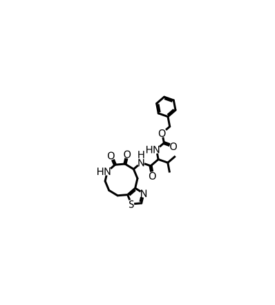 CC(C)C(NC(=O)OCc1ccccc1)C(=O)NC1Cc2ncsc2CCCNC(=O)C1=O